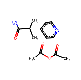 CC(=O)OC(C)=O.CC(C)C(N)=O.c1ccncc1